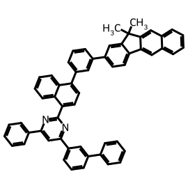 CC1(C)c2cc(-c3cccc(-c4ccc(-c5nc(-c6ccccc6)cc(-c6cccc(-c7ccccc7)c6)n5)c5ccccc45)c3)ccc2-c2cc3ccccc3cc21